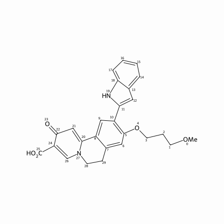 COCCCOc1cc2c(cc1-c1cc3ccccc3[nH]1)-c1cc(=O)c(C(=O)O)cn1CC2